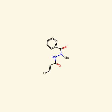 CCC=CC(=O)NN(C(=O)c1ccccc1)C(C)(C)C